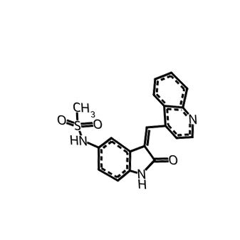 CS(=O)(=O)Nc1ccc2c(c1)C(=Cc1ccnc3ccccc13)C(=O)N2